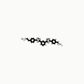 CCCc1ccc(-c2nnc(-c3cccc(-c4nnc(-c5ccc(CC)cc5)o4)c3)o2)cc1